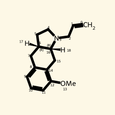 C=CCN1CC[C@H]2Cc3cccc(OC)c3C[C@H]21